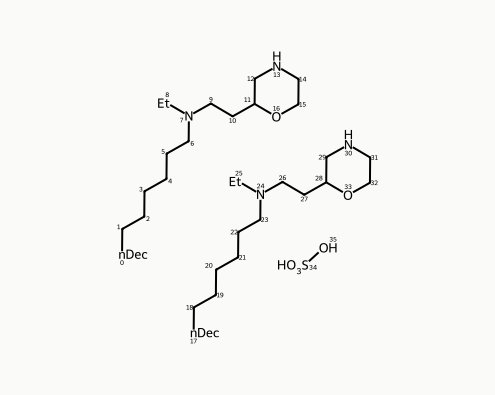 CCCCCCCCCCCCCCCCN(CC)CCC1CNCCO1.CCCCCCCCCCCCCCCCN(CC)CCC1CNCCO1.O=S(=O)(O)O